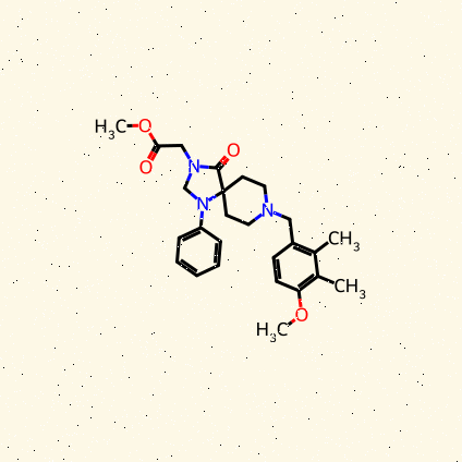 COC(=O)CN1CN(c2ccccc2)C2(CCN(Cc3ccc(OC)c(C)c3C)CC2)C1=O